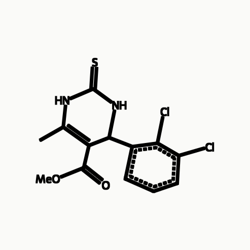 COC(=O)C1=C(C)NC(=S)NC1c1cccc(Cl)c1Cl